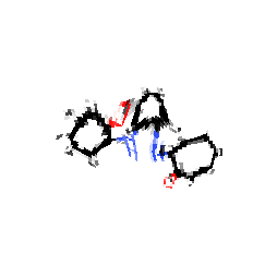 O=C1C=CCCC=C1Nc1ccccc1Nc1cccccc1=O